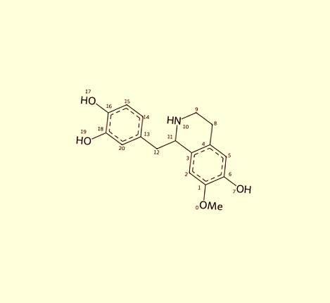 COc1cc2c(cc1O)CCNC2Cc1ccc(O)c(O)c1